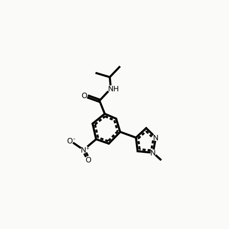 CC(C)NC(=O)c1cc(-c2cnn(C)c2)cc([N+](=O)[O-])c1